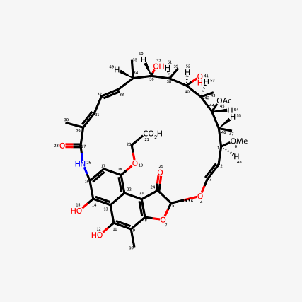 CO[C@H]1/C=C/O[C@@]2(C)Oc3c(C)c(O)c4c(O)c(cc(OCC(=O)O)c4c3C2=O)NC(=O)/C(C)=C/C=C/[C@H](C)[C@H](O)[C@@H](C)[C@@H](O)[C@@H](C)[C@H](OC(C)=O)[C@@H]1C